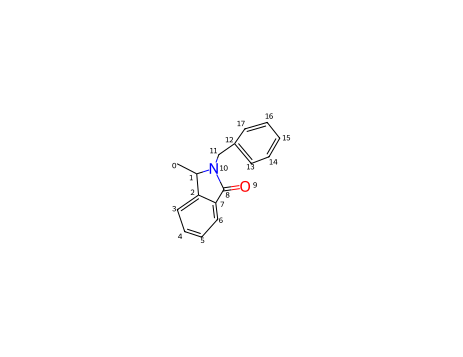 CC1c2ccccc2C(=O)N1Cc1ccccc1